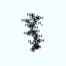 Cc1cc(N=Nc2c(S(=O)(=O)O)cc3cc(SOOO)c(N=Nc4c(S(=O)(=O)O)cc5c(S(=O)(=O)O)c(N=Nc6cc(S(=O)(=O)O)c7cc(SOOO)c(N=Nc8ccc([N+](=O)[O-])cc8S(=O)(=O)O)c(O)c7c6N)ccc5c4O)cc3c2O)c(OCCCSOOO)cc1N=Nc1cc(S(=O)(=O)O)cc2cc(S(=O)(=O)O)cc(O)c12